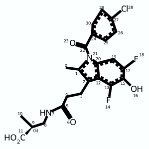 Cc1c(CCC(=O)NC[C@H](C)C(=O)O)c2c(F)c(O)c(F)cc2n1C(=O)c1ccc(Cl)cc1